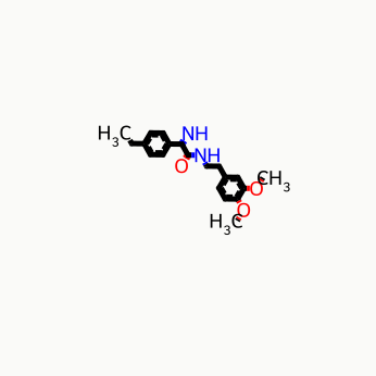 CCc1ccc(C(=N)C(=O)NCCc2ccc(OC)c(OC)c2)cc1